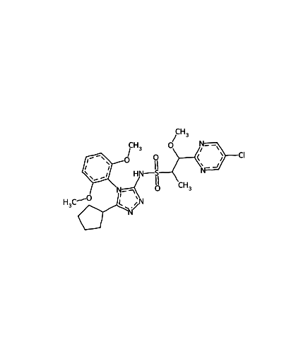 COc1cccc(OC)c1-n1c(NS(=O)(=O)C(C)C(OC)c2ncc(Cl)cn2)nnc1C1CCCC1